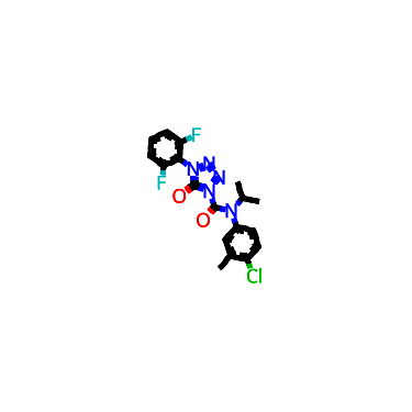 Cc1cc(N(C(=O)n2nnn(-c3c(F)cccc3F)c2=O)C(C)C)ccc1Cl